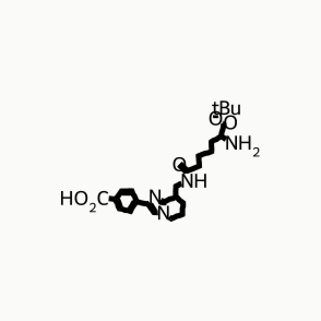 CC(C)(C)OC(=O)C(N)CCCCC(=O)NCC1CCCn2cc(-c3ccc(C(=O)O)cc3)nc21